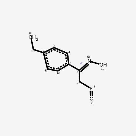 BCc1ccc(/C(CP=O)=N/O)cc1